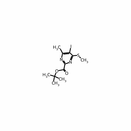 CSc1nc(C(=O)OC(C)(C)C)nc(C)c1I